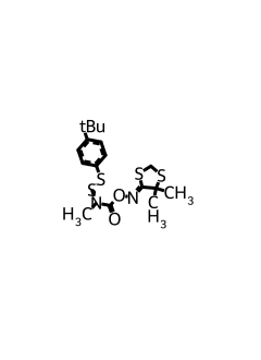 CN(SSc1ccc(C(C)(C)C)cc1)C(=O)ON=C1SCSC1(C)C